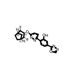 Oc1cc(-c2nnco2)ccc1-c1ccc(O[C@@H]2[C@H](F)[C@H]3CC[C@H](C3)[C@@H]2F)nn1